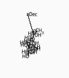 C/C=C/[C@@H](O)[C@H](CO[C@@H]1OC(CO)[C@@H](O[C@@H]2OC(CO)[C@H](O)C(O[C@]3(C(=O)O)CC(O)[C@@H](NC(=O)CO)C([C@H](O)[C@H](O)CO)O3)C2O)C(O)C1O)NC(=O)CCCCCCCCCCCCCCCCCCCCCCC